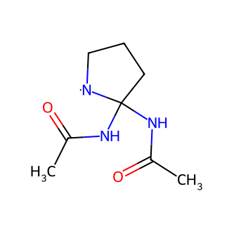 CC(=O)NC1(NC(C)=O)CCC[N]1